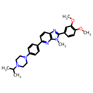 COc1ccc(-c2nc3ccc(-c4ccc(N5CCN(C(C)C)CC5)cc4)nc3n2C)cc1OC